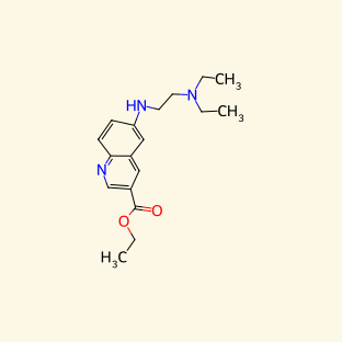 CCOC(=O)c1cnc2ccc(NCCN(CC)CC)cc2c1